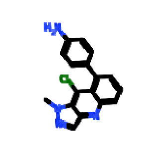 Cn1ncc2nc3cccc(-c4ccc(N)cc4)c3c(Cl)c21